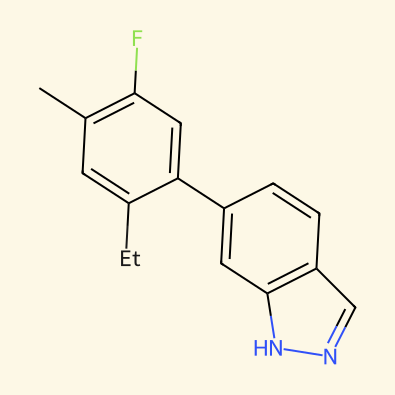 CCc1cc(C)c(F)cc1-c1ccc2cn[nH]c2c1